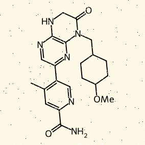 COC1CCC(CN2C(=O)CNc3ncc(-c4cnc(C(N)=O)cc4C)nc32)CC1